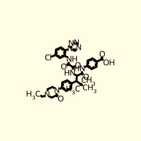 CCN1CCN(c2ccc(C(C(NC(=O)C(=O)Nc3cc(Cl)ccc3-n3cnnn3)C(=O)Nc3ccc(C(=O)O)cc3)C(C)(C)C)cc2)C(=O)C1